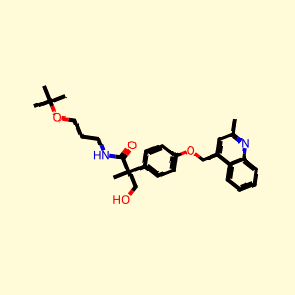 Cc1cc(COc2ccc(C(C)(CO)C(=O)NCCCOC(C)(C)C)cc2)c2ccccc2n1